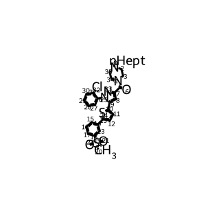 CCCCCCCN1CCN(C(=O)c2cc(-c3ccc(-c4cccc(S(C)(=O)=O)c4)s3)n(-c3ccccc3Cl)n2)CC1